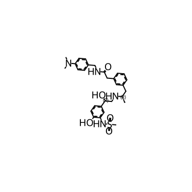 C[C@H](Cc1cccc(CC(=O)NCc2ccc(N(C)C)cc2)c1)NC[C@H](O)c1ccc(O)c(NS(C)(=O)=O)c1